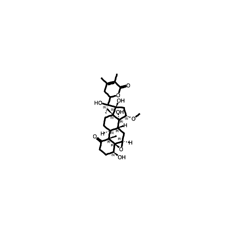 CO[C@H]1C[C@@](O)([C@@](C)(O)C2CC(C)=C(C)C(=O)O2)[C@@]2(C)CC[C@H]3[C@@H](C[C@H]4O[C@]45[C@@H](O)CCC(=O)[C@]35C)[C@]12O